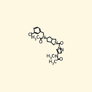 CC(=O)N(C)c1cnn(C(=O)N2CC3CC(N(Cc4cccc(Cl)c4)C(C)=O)CC3C2)c1